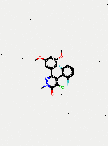 COc1cc(OC)cc(-c2nn(C)c(=O)c(Cl)c2-c2c(F)cccc2F)c1